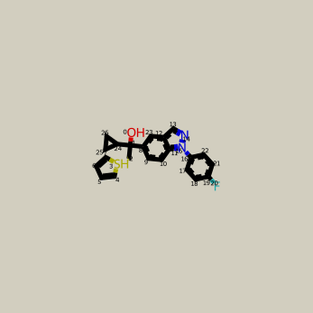 OC(C[SH]1C=CC=C1)(c1ccc2c(cnn2-c2ccc(F)cc2)c1)C1CC1